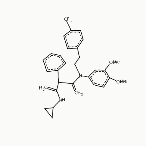 C=C(NC1CC1)C(C(=C)N(CCc1ccc(C(F)(F)F)cc1)c1ccc(OC)c(OC)c1)c1ccccc1